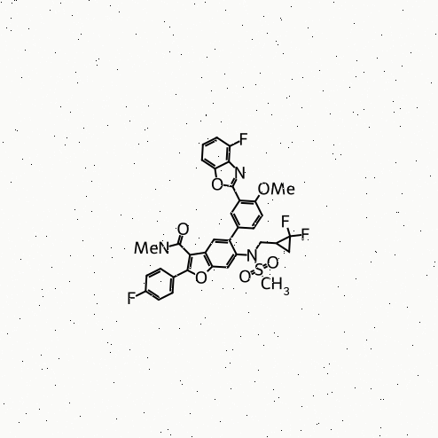 CNC(=O)c1c(-c2ccc(F)cc2)oc2cc(N(CC3CC3(F)F)S(C)(=O)=O)c(-c3ccc(OC)c(-c4nc5c(F)cccc5o4)c3)cc12